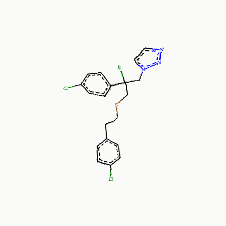 FC(CSCCc1ccc(Cl)cc1)(Cn1ccnn1)c1ccc(Cl)cc1